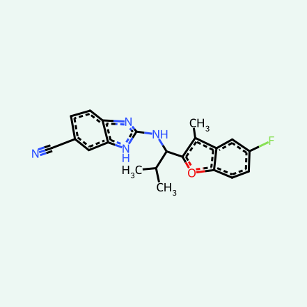 Cc1c(C(Nc2nc3ccc(C#N)cc3[nH]2)C(C)C)oc2ccc(F)cc12